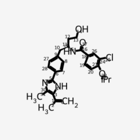 C=C(C)c1[nH]c(-c2ccc(C[C@@H](CCO)NC(=O)c3ccc(OC(C)C)c(Cl)c3)cc2)nc1C